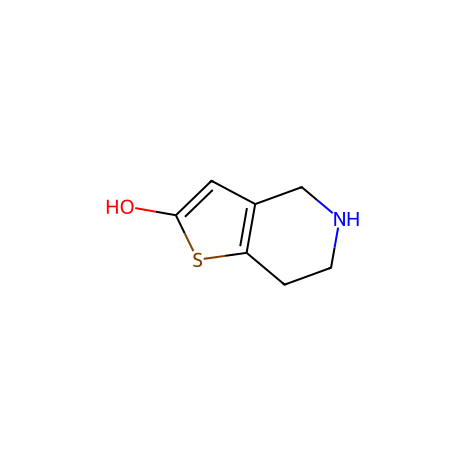 Oc1cc2c(s1)CCNC2